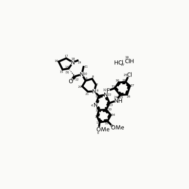 COc1cc2nc(N3CCC(N(C)C(=O)[C@@H]4CCCN4C)CC3)nc(Nc3ccc(Cl)cc3F)c2cc1OC.Cl.Cl